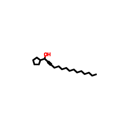 CCCCCCCCCCCCC#CC(O)C1CCCC1